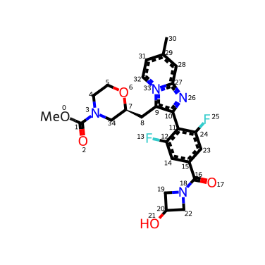 COC(=O)N1CCO[C@@H](Cc2c(-c3c(F)cc(C(=O)N4CC(O)C4)cc3F)nc3cc(C)ccn23)C1